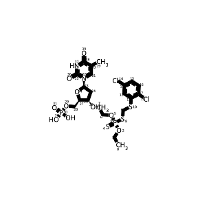 CCOP(=S)(OCC)SCSc1cc(Cl)ccc1Cl.Cc1cn([C@H]2C[C@H](O)[C@@H](COP(=O)(O)O)O2)c(=O)[nH]c1=O